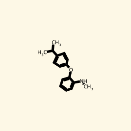 CNc1ccccc1Oc1ccc(C(C)C)cc1